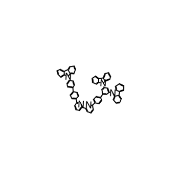 c1cc(-c2ccc(-c3ccc(-n4c5ccccc5c5ccccc54)cc3)cc2)nc(-c2cccc(-c3ccc(-c4cc(-n5c6ccccc6c6ccccc65)cc(-n5c6ccccc6c6ccccc65)c4)cc3)n2)c1